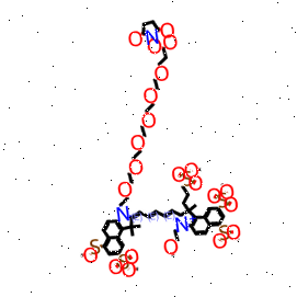 COCC[N+]1=C(/C=C/C=C/C=C2/N(CCOCCOCCOCCOCCOCCOCCC(=O)ON3C(=O)CCC3=O)c3ccc4c(SOC)cc(S(=O)(=O)OC)cc4c3C2(C)C)C(C)(CCCS(=O)(=O)OC)c2c1ccc1c(S(=O)OC)cc(S(=O)(=O)OC)cc21